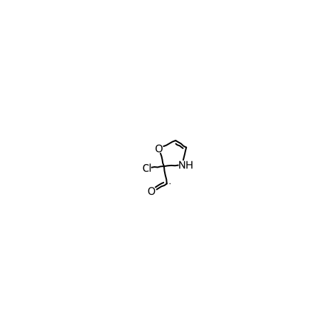 O=[C]C1(Cl)NC=CO1